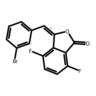 O=C1O/C(=C/c2cccc(Br)c2)c2c(F)ccc(F)c21